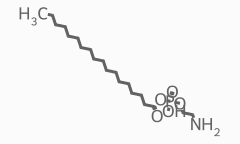 CCCCCCCCCCCCCCCCCC(=O)OP(=O)(O)OCCN